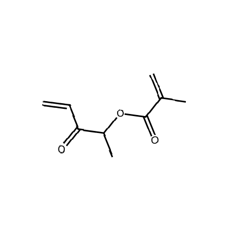 C=CC(=O)C(C)OC(=O)C(=C)C